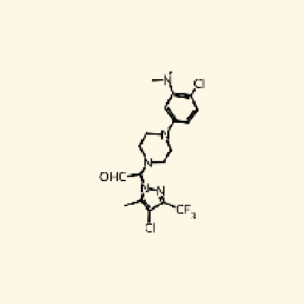 Cc1c(Cl)c(C(F)(F)F)nn1C(C=O)N1CCN(c2ccc(Cl)c(N(C)C)c2)CC1